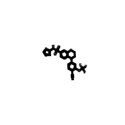 N#Cc1ccc(N2CCOc3cc(S(=O)(=O)Nc4nccs4)ccc32)cc1OC(F)(F)F